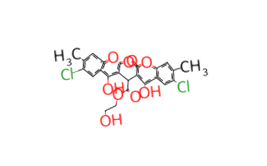 Cc1cc2oc(=O)c(C(C(=O)OCCO)c3c(O)c4cc(Cl)c(C)cc4oc3=O)c(O)c2cc1Cl